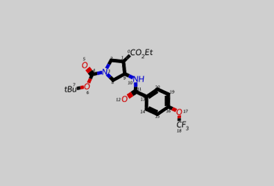 CCOC(=O)C1CN(C(=O)OC(C)(C)C)CC1NC(=O)c1ccc(OC(F)(F)F)cc1